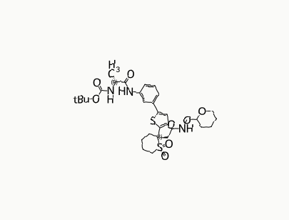 C[C@@H](NC(=O)OC(C)(C)C)C(=O)Nc1cccc(-c2ccc([C@@]3(CC(=O)NOC4CCCCO4)CCCCS3(=O)=O)s2)c1